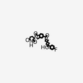 O=C1CCC(N2Cc3cc(C(=O)N4CC5(C4)CC(O)(c4ccc(F)cc4)C5)ccc3C2=O)C(=O)N1